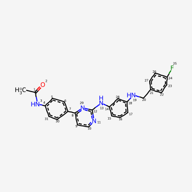 CC(=O)Nc1ccc(-c2ccnc(Nc3cccc(NCc4ccc(F)cc4)c3)n2)cc1